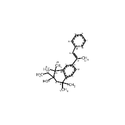 CCC1(O)CC(C)(C)c2ccc(C(C)=Cc3ccccc3)cc2C1(C)C